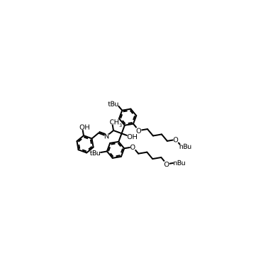 CCCCOCCCCOc1ccc(C(C)(C)C)cc1C(O)(c1cc(C(C)(C)C)ccc1OCCCCOCCCC)C(C)N=Cc1ccccc1O